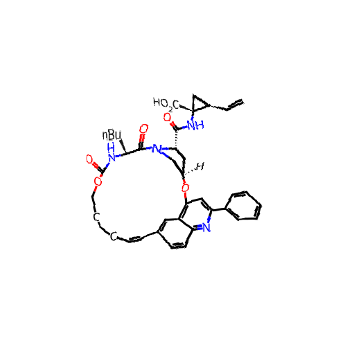 C=C[C@@H]1C[C@]1(NC(=O)[C@@H]1C[C@@H]2CN1C(=O)[C@H](CCCC)NC(=O)OCCCC/C=C\c1ccc3nc(-c4ccccc4)cc(c3c1)O2)C(=O)O